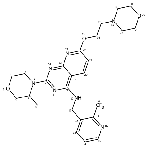 CC1COCCN1c1nc(NCc2cccnc2C(F)(F)F)c2ccc(OCCN3CCOCC3)nc2n1